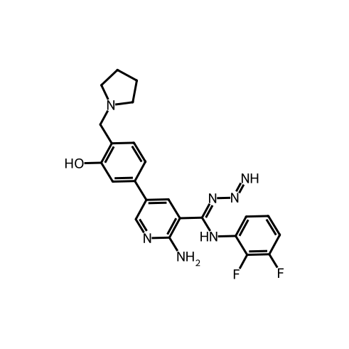 N=N/N=C(\Nc1cccc(F)c1F)c1cc(-c2ccc(CN3CCCC3)c(O)c2)cnc1N